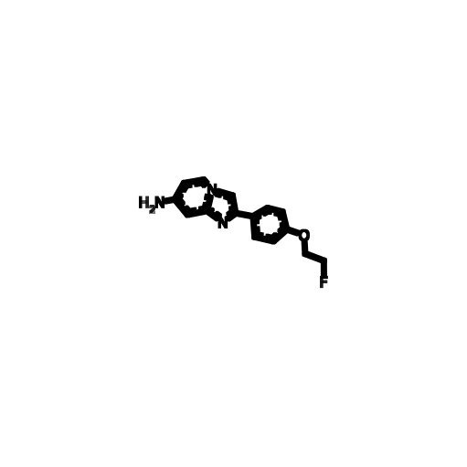 Nc1ccn2cc(-c3ccc(OCCF)cc3)nc2c1